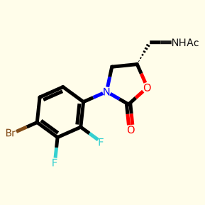 CC(=O)NC[C@H]1CN(c2ccc(Br)c(F)c2F)C(=O)O1